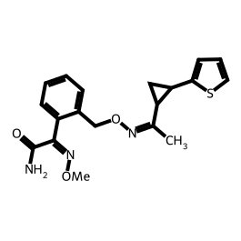 CON=C(C(N)=O)c1ccccc1CON=C(C)C1CC1c1cccs1